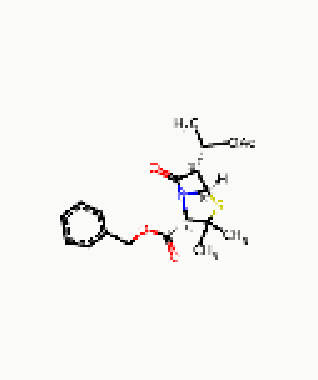 CC(=O)OC(C)[C@H]1C(=O)N2[C@@H]1SC(C)(C)[C@@H]2C(=O)OCc1ccccc1